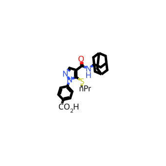 CCCSc1c(C(=O)NC23CC4CC(CC(C4)C2)C3)cnn1-c1ccc(C(=O)O)cc1